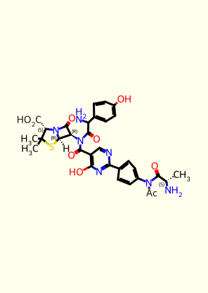 CC(=O)N(C(=O)[C@H](C)N)c1ccc(-c2ncc(C(=O)N(C(=O)C(N)c3ccc(O)cc3)[C@@H]3C(=O)N4[C@@H]3SC(C)(C)[C@@H]4C(=O)O)c(O)n2)cc1